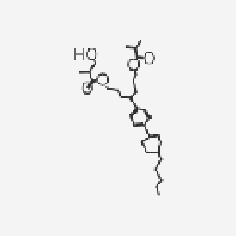 C=C(C)C(=O)OCCCC(CCCOC(=O)C(=C)CO)c1ccc(C2CCC(CCCCC)CC2)cc1